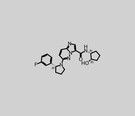 O=C(N[C@@H]1CCC[C@H]1O)c1cnc2ccc(N3CCC[C@@H]3c3cccc(F)c3)nn12